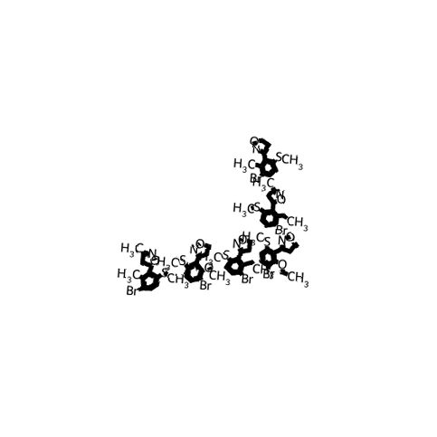 CCOc1c(Br)ccc(SC)c1C1=NOCC1.CCc1c(Br)ccc(SC)c1C1=NOCC1.CCc1c(Br)ccc(SC)c1C1CC(C)=NO1.COc1c(Br)ccc(SC)c1C1=NOCC1.CSc1ccc(Br)c(C)c1C1=NOCC1.CSc1ccc(Br)c(C)c1C1CC(C)=NO1